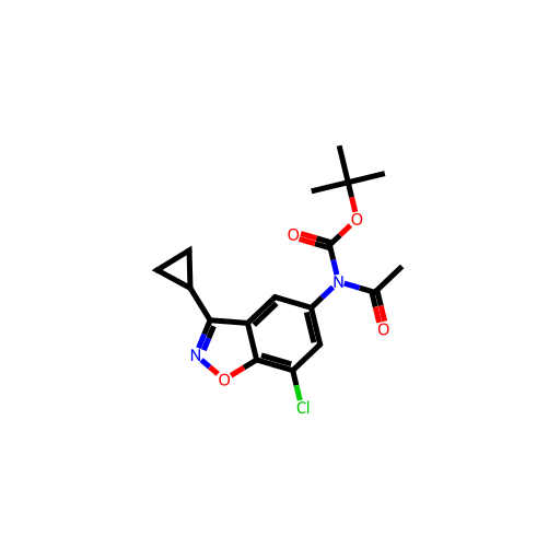 CC(=O)N(C(=O)OC(C)(C)C)c1cc(Cl)c2onc(C3CC3)c2c1